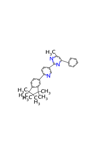 Cc1cc(-c2ccccc2)nc(-c2ccc(-c3ccc4c(c3)C(C)(C)C(C)(C)C4(C)C)nc2)n1